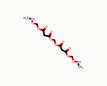 CPOCOC(=O)CC(=O)OCOC(=O)CC(=O)OCOPC